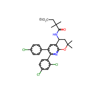 CCOC(=O)CC(C)(C)C(=O)NC1CC(C)(C)Oc2nc(-c3ccc(Cl)cc3Cl)c(-c3ccc(Cl)cc3)cc21